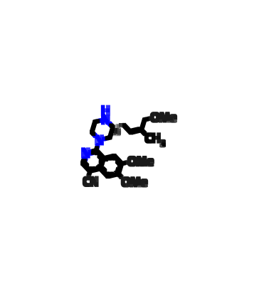 COCC(C)=CC[C@@H]1CN(c2ncc(C#N)c3cc(OC)c(OC)cc23)CCN1